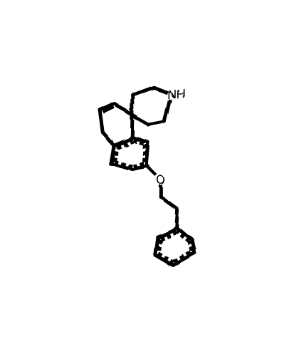 C1=CC2(CCNCC2)c2cc(OCCc3ccccc3)ccc2C1